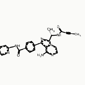 CC#CC(=O)N[C@@H](C)c1nc(-c2ccc(C(=O)Nc3ccccn3)cc2)c2c(N)nccn12